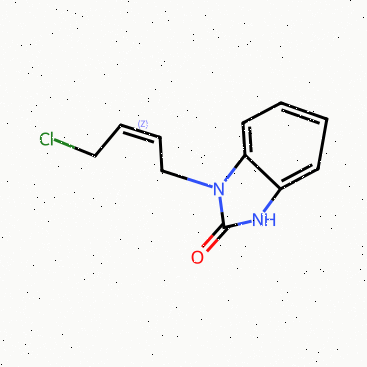 O=c1[nH]c2ccccc2n1C/C=C\CCl